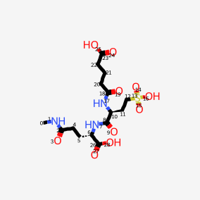 CNC(=O)CC[C@H](NC(=O)[C@H](CCS(=O)(=O)O)NC(=O)CCCC(=O)O)C(=O)O